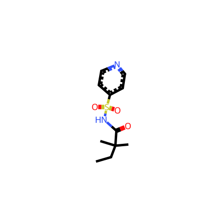 CCC(C)(C)C(=O)NS(=O)(=O)c1ccncc1